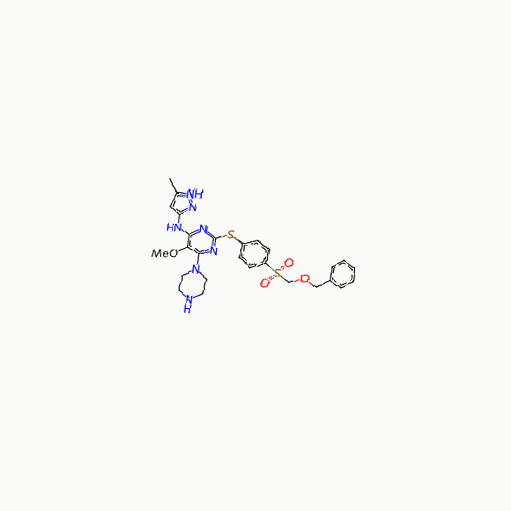 COc1c(Nc2cc(C)[nH]n2)nc(Sc2ccc(S(=O)(=O)COCc3ccccc3)cc2)nc1N1CCNCC1